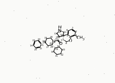 Cc1cccc2c1OCC[C@]21CNC[C@H]1C(=O)N1CC[C@@H](c2ccccc2)C[C@H]1C1CCCCC1